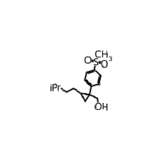 CC(C)CCC1CC1(CO)c1ccc(S(C)(=O)=O)cc1